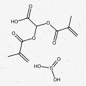 C=C(C)C(=O)OC(OC(=O)C(=C)C)C(=O)O.[O]=[Ti]([OH])[OH]